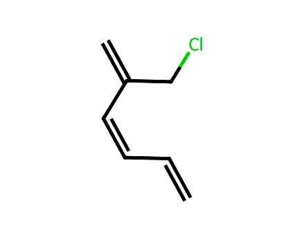 C=C/C=C\C(=C)CCl